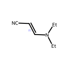 CCN(/C=C/C#N)CC